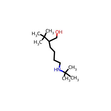 CC(C)(C)NCCCCC(CO)C(C)(C)C